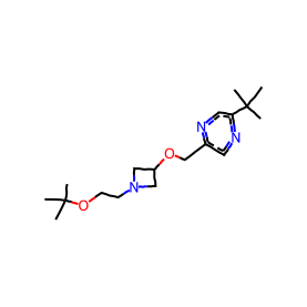 CC(C)(C)OCCN1CC(OCc2cnc(C(C)(C)C)cn2)C1